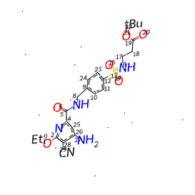 CCOc1nc(C(=O)NCc2ccc(S(=O)(=O)NCCC(=O)OC(C)(C)C)cc2)cc(N)c1C#N